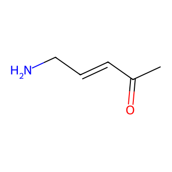 CC(=O)C=CCN